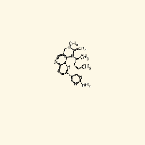 C=C1N(C)Cc2cnc3ccc(-c4cnc(N)nc4)nc3c2N1C(C)CCC